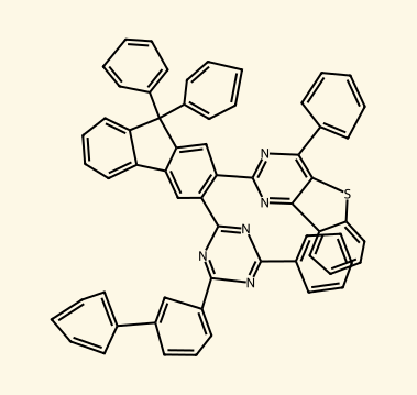 c1ccc(-c2cccc(-c3nc(-c4ccccc4)nc(-c4cc5c(cc4-c4nc(-c6ccccc6)c6sc7ccccc7c6n4)C(c4ccccc4)(c4ccccc4)c4ccccc4-5)n3)c2)cc1